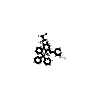 Cc1cc(-c2nn(C(c3ccccc3)(c3ccccc3)c3ccccc3)c3cc4[nH]c(C(=O)O)nc4cc23)ccn1